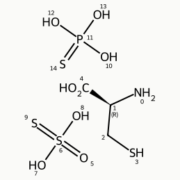 N[C@@H](CS)C(=O)O.O=S(O)(O)=S.OP(O)(O)=S